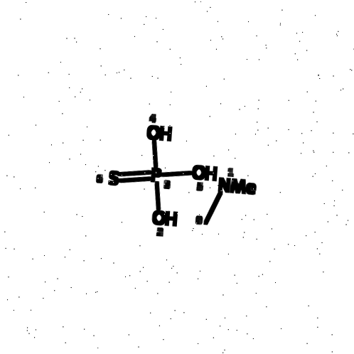 CNC.OP(O)(O)=S